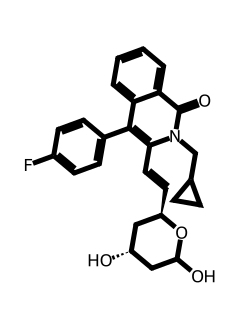 O=c1c2ccccc2c(-c2ccc(F)cc2)c(C=C[C@@H]2C[C@@H](O)CC(O)O2)n1CC1CC1